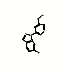 OCc1cncc(-n2ncc3ccc(Br)cc32)n1